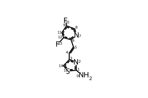 Nc1nc(C=Cc2ncc(F)cc2F)cs1